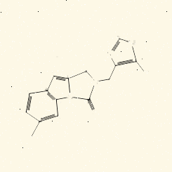 Cc1ccc2cc3n(c2c1)C(=O)N(Cc1nc[nH]c1C)C3.Cl